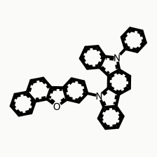 c1ccc(-n2c3ccccc3c3c2ccc2c4ccccc4n(-c4ccc5c(c4)oc4c6ccccc6ccc54)c23)cc1